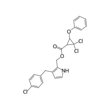 O=C(OCc1[nH]ccc1Cc1ccc(Cl)cc1)C1C(Oc2ccccc2)C1(Cl)Cl